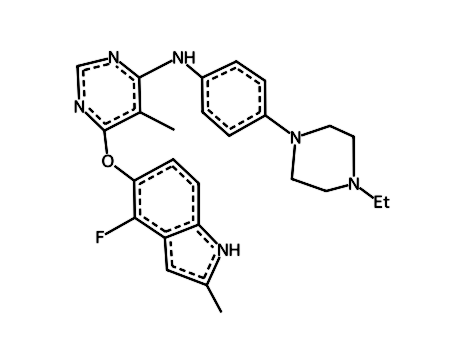 CCN1CCN(c2ccc(Nc3ncnc(Oc4ccc5[nH]c(C)cc5c4F)c3C)cc2)CC1